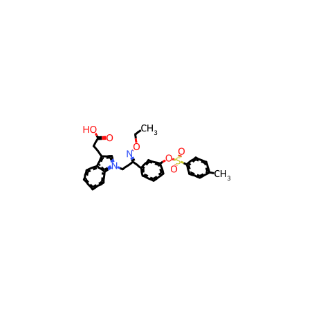 CCON=C(Cn1cc(CC(=O)O)c2ccccc21)c1cccc(OS(=O)(=O)c2ccc(C)cc2)c1